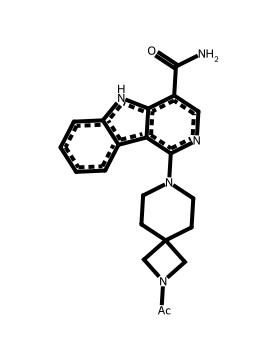 CC(=O)N1CC2(CCN(c3ncc(C(N)=O)c4[nH]c5ccccc5c34)CC2)C1